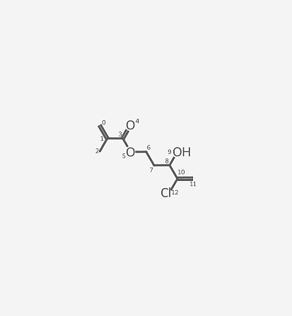 C=C(C)C(=O)OCCC(O)C(=C)Cl